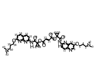 CN(C)CCCOc1cnc2ccc(NC(=O)C3(OC(=O)/C=C/C(=O)OC4(C(=O)Nc5ccc6ccc(OCCCN(C)C)nc6n5)CC4)CC3)nc2c1